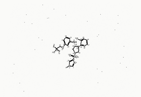 Cn1cnc(S(=O)(=O)N2C[C@H](Nc3cccc(OCC(F)(F)F)c3)[C@@H](c3ncccc3F)C2)c1